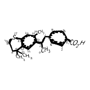 C/C(=C\c1ccc(C(=O)O)cc1)c1cc2c(cc1C)SCCC2(C)C